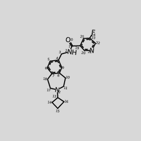 O=C(NCc1ccc2c(c1)CCN(C1CCC1)CC2)c1cncc(F)c1